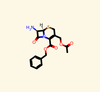 CC(=O)OCC1=C(C(=O)OCc2ccccc2)N2C(=O)[C@@H](N)[C@H]2SC1